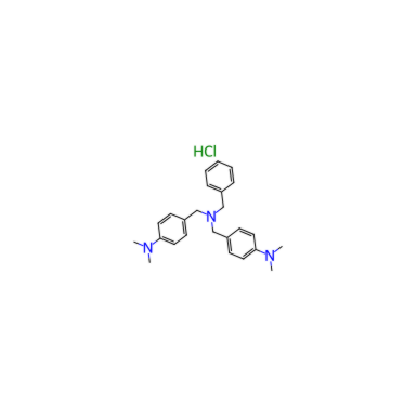 CN(C)c1ccc(CN(Cc2ccccc2)Cc2ccc(N(C)C)cc2)cc1.Cl